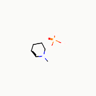 CN1C=CCCC1.O=P(O)(O)O